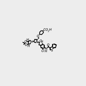 CC1(C)O[C@H]2CN([C@H]3C[C@@H](CO[C@H]4CC[C@H](C(=O)O)CC4)N(C(=O)Cc4cc(Cl)c(NC(=O)c5csc6ccccc56)cc4F)C3)C[C@H]2O1